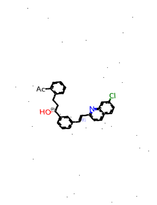 CC(=O)c1ccccc1CC[C@@H](O)c1cccc(/C=C/c2ccc3ccc(Cl)cc3n2)c1